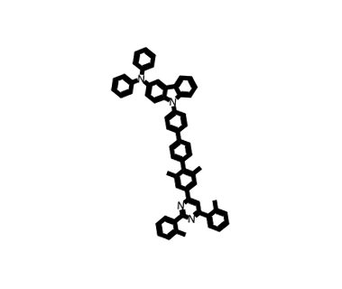 Cc1ccccc1-c1cc(-c2cc(C)c(-c3ccc(-c4ccc(-n5c6ccccc6c6cc(N(c7ccccc7)c7ccccc7)ccc65)cc4)cc3)c(C)c2)nc(-c2ccccc2C)n1